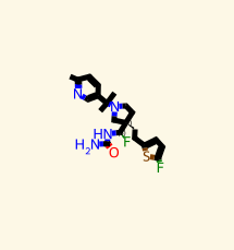 Cc1ccc(C(C)(C)N2CC[C@@](CCc3ccc(F)s3)([C@H](F)NC(N)=O)C2)cn1